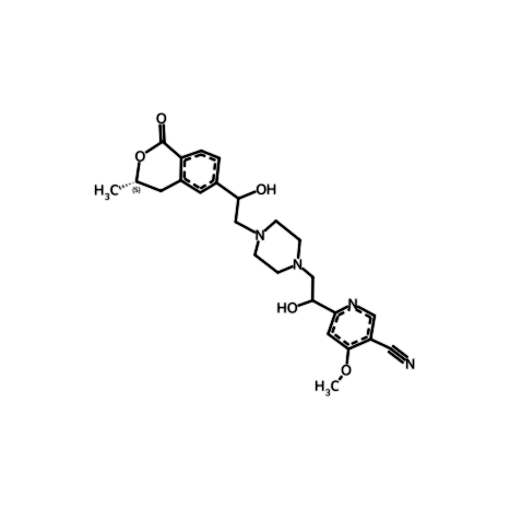 COc1cc(C(O)CN2CCN(CC(O)c3ccc4c(c3)C[C@H](C)OC4=O)CC2)ncc1C#N